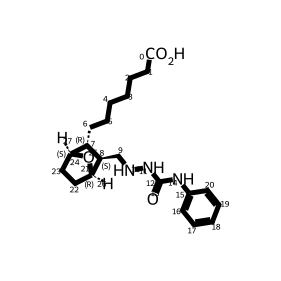 O=C(O)CCCCCC[C@@H]1[C@@H](CNNC(=O)Nc2ccccc2)[C@H]2CC[C@@H]1O2